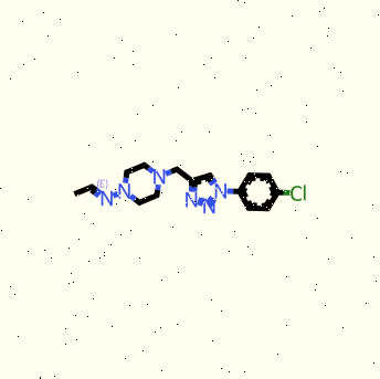 C/C=N/N1CCN(Cc2cn(-c3ccc(Cl)cc3)nn2)CC1